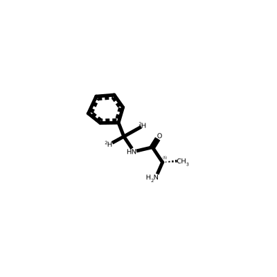 [2H]C([2H])(NC(=O)[C@H](C)N)c1ccccc1